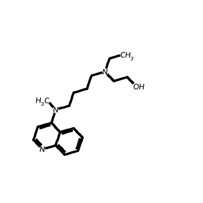 CCN(CCO)CCCCN(C)c1ccnc2ccccc12